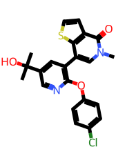 Cn1cc(-c2cc(C(C)(C)O)cnc2Oc2ccc(Cl)cc2)c2sccc2c1=O